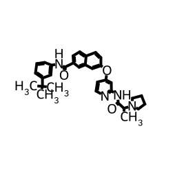 CC(C(=O)Nc1cc(Oc2ccc3ccc(C(=O)Nc4cccc(C(C)(C)C)c4)cc3c2)ccn1)N1CCCC1